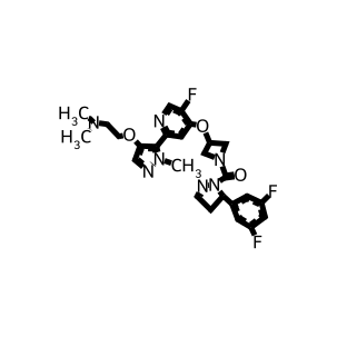 CN(C)CCOc1cnn(C)c1-c1cc(OC2CN(C(=O)N3N=CCC3c3cc(F)cc(F)c3)C2)c(F)cn1